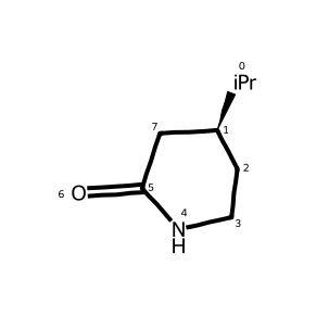 CC(C)[C@H]1CCNC(=O)C1